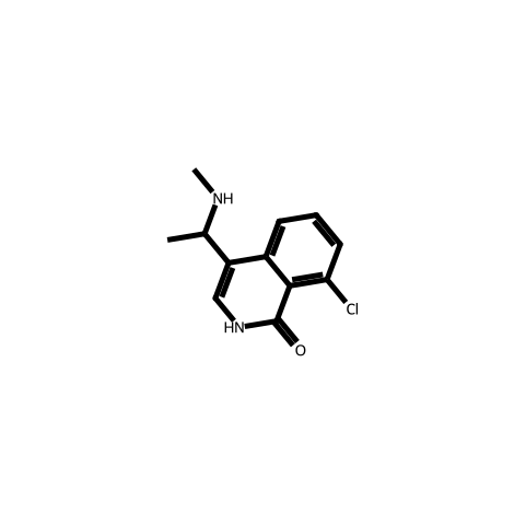 CNC(C)c1c[nH]c(=O)c2c(Cl)cccc12